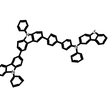 c1ccc(N(c2ccc(-c3ccc(-c4ccc5c(c4)c4cc(-c6ccc7c(c6)c6ccccc6n7-c6ccccc6)ccc4n5-c4ccccc4)cc3)cc2)c2ccc3sc4ccccc4c3c2)cc1